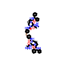 CN[C@@H](C)C(=O)N[C@H]1CN(C(=O)Nc2ccc(Sc3ccc(NC(=O)N4CC[C@H]5CC[C@@H](C(=O)NC(c6ccccc6)c6ccccc6)N5C(=O)[C@@H](NC(=O)[C@H](C)NC)C4)cc3)cc2)CC[C@H]2CCC(C(=O)NC(c3ccccc3)c3ccccc3)N2C1=O